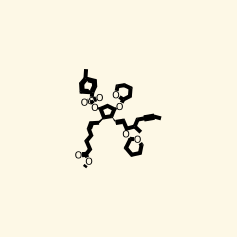 CC#CCC(C)[C@@H](/C=C/[C@@H]1[C@@H](C/C=C\CCCC(=O)OC)[C@@H](OS(=O)(=O)c2ccc(C)cc2)C[C@H]1OC1CCCCO1)OC1CCCCO1